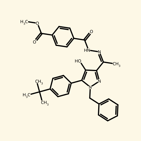 COC(=O)c1ccc(C(=O)NN=C(C)c2nn(Cc3ccccc3)c(-c3ccc(C(C)(C)C)cc3)c2O)cc1